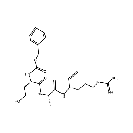 C[C@H](NC(=O)[C@@H](CCO)NC(=O)OCc1ccccc1)C(=O)N[C@H](C=O)CCCNC(=N)N